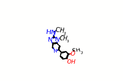 CNc1nc2cnc(-c3ccc(O)c(OC)c3)cc2n1C